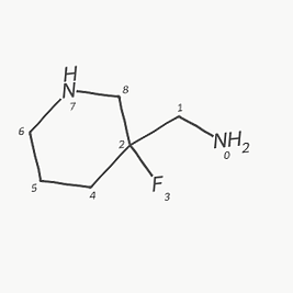 NCC1(F)CCCNC1